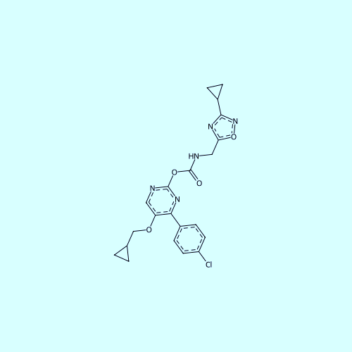 O=C(NCc1nc(C2CC2)no1)Oc1ncc(OCC2CC2)c(-c2ccc(Cl)cc2)n1